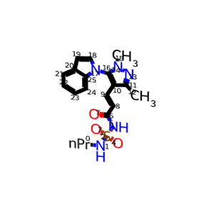 CCCNS(=O)(=O)NC(=O)C=Cc1c(C)nn(C)c1-n1ccc2ccccc21